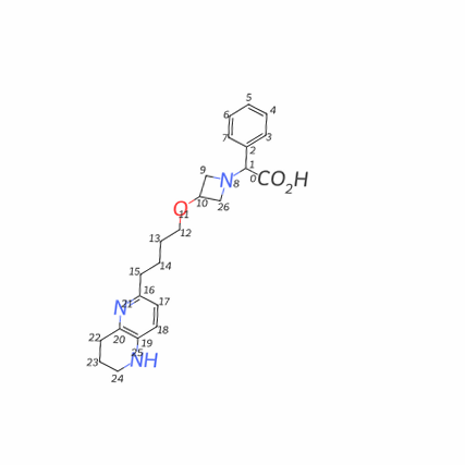 O=C(O)C(c1ccccc1)N1CC(OCCCCc2ccc3c(n2)CCCN3)C1